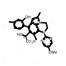 COc1cnc(N2CCn3c(C)cc4c(-c5ccc(C)cc5O)c([C@H](O)C(=O)O)c(C)c2c43)nc1